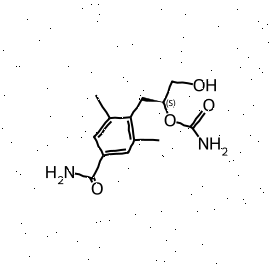 Cc1cc(C(N)=O)cc(C)c1C[C@@H](CO)OC(N)=O